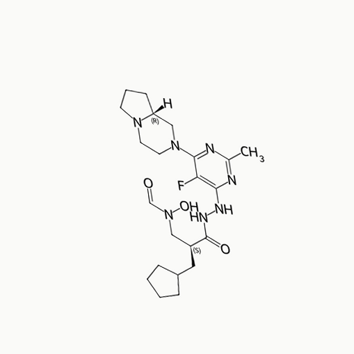 Cc1nc(NNC(=O)[C@@H](CC2CCCC2)CN(O)C=O)c(F)c(N2CCN3CCC[C@@H]3C2)n1